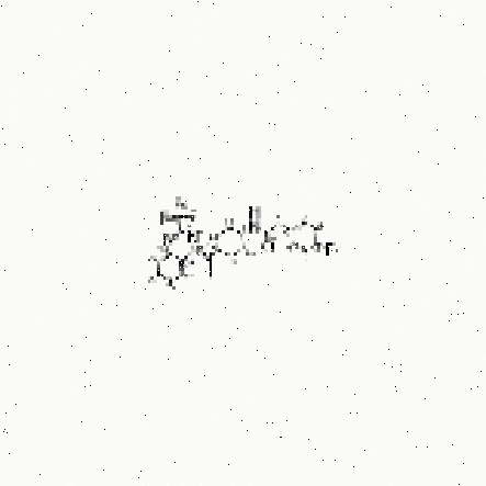 O=C(Cc1ccc(F)cc1)NC1CCC(Nc2nc(C(F)(F)F)nc3ccccc23)CC1